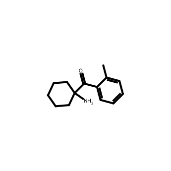 Cc1ccccc1C(=O)C1(N)CCCCC1